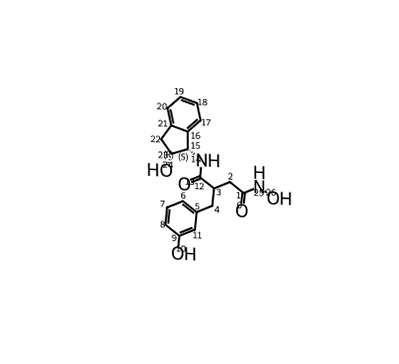 O=C(CC(Cc1cccc(O)c1)C(=O)N[C@H]1c2ccccc2C[C@H]1O)NO